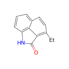 CCc1ccc2cccc3c2c1C(=O)N3